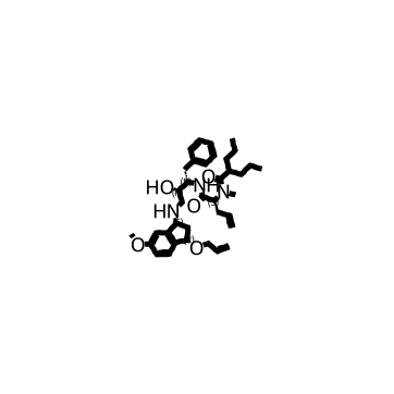 C=CCO[C@@H]1C[C@H](NC[C@@H](O)[C@H](Cc2ccccc2)NC(=O)[C@H](CC=C)N(C)C(=O)C(CCC)CCC)c2cc(OC)ccc21